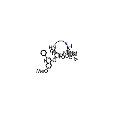 COc1ccc2c(O[C@H]3C[C@H]4C(=O)NCCCC/C=C\[C@@H]5C[C@@]5(C(=O)NS(=O)(=O)C5CC5)NC(=O)[C@@H]4C3)cc(-c3ccccc3)nc2c1